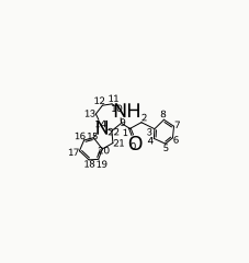 O=C(Cc1ccccc1)C1NCCCN2c3ccccc3CC12